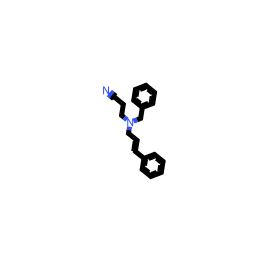 N#CCCN(CC=Cc1ccccc1)Cc1ccccc1